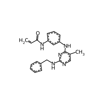 C=CC(=O)Nc1cccc(Nc2nc(NCc3ccccc3)ncc2C)c1